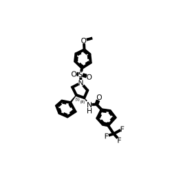 COc1ccc(S(=O)(=O)N2C[C@H](NC(=O)c3ccc(C(F)(F)F)cc3)[C@@H](c3ccccc3)C2)cc1